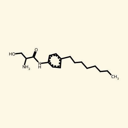 CCCCCCCCc1ccc(NC(=O)C(N)CO)cc1